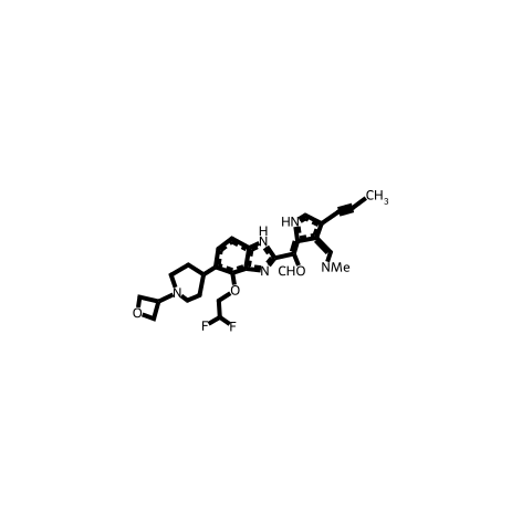 CC#Cc1c[nH]c(=C(/C=O)c2nc3c(OCC(F)F)c(C4CCN(C5COC5)CC4)ccc3[nH]2)/c1=C\NC